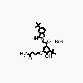 Br.CC(C)(C)c1ccc2c(c1)C(=N)N(CC(=O)c1cc(OCCCC(N)=O)c(O)c(C(C)(C)C)c1)C2